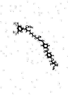 Nc1cc(N)cc(C(CCCCCCOC(=O)/C=C/c2ccc(OC(=O)c3ccc(OCC(F)(F)C(F)F)cc3)cc2)OO)c1